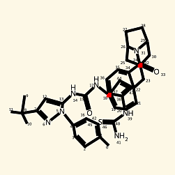 Cc1ccc(-n2nc(C(C)(C)C)cc2NC(=O)Nc2cccc(CC3CC4CCC(C3)N4C(=O)c3cccc(NC(N)=S)c3)c2)cc1